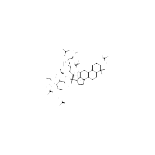 COC(=O)[C@H](CC(C)C)NCCCC(C)(O[C@H]1O[C@H](COC(C)=O)[C@@H](OC(C)=O)[C@H](OC(C)=O)C1OC(C)=O)C1CC[C@]2(C)[C@@H]1C(OC(C)=O)CC1[C@@]3(C)CC[C@H](OC(C)=O)C(C)(C)C3CC[C@]12C